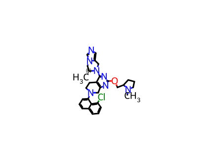 C[C@@H]1Cn2cncc2CN1c1nc(OCC2CCCN2C)nc2c1CCN(c1cccc3cccc(Cl)c13)C2